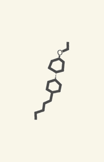 CCCCCC1CCC([C@H]2CC[C@H](OCC)CC2)CC1